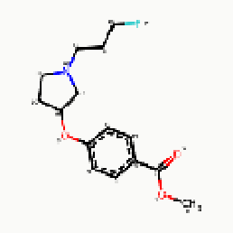 COC(=O)c1ccc(OC2CCN(CCCF)C2)cc1